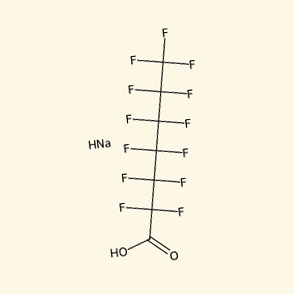 O=C(O)C(F)(F)C(F)(F)C(F)(F)C(F)(F)C(F)(F)C(F)(F)F.[NaH]